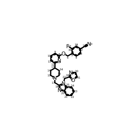 N#Cc1ccc(COc2cccc(C3CCN(Cc4nc5ccccc5n4Cc4ncco4)CC3)n2)c(F)c1